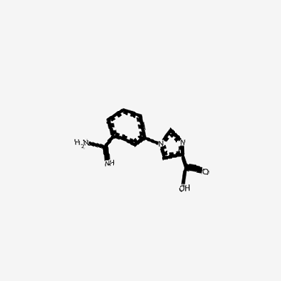 N=C(N)c1cccc(-n2cnc(C(=O)O)c2)c1